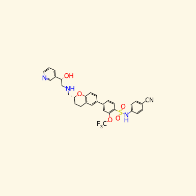 N#Cc1ccc(NS(=O)(=O)c2ccc(-c3ccc4c(c3)CC[C@H](CNC[C@@H](O)c3cccnc3)O4)cc2OC(F)(F)F)cc1